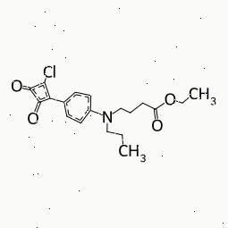 CCCN(CCCC(=O)OCC)c1ccc(-c2c(Cl)c(=O)c2=O)cc1